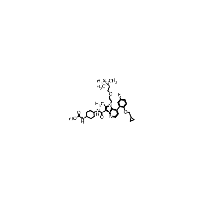 Cc1c(C(=O)NC2CCC(NC(=O)O)CC2)c2nccc(-c3cc(F)ccc3OCC3CC3)c2n1CCOCC[Si](C)(C)C